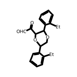 CCc1ccccc1C1COC(c2ccccc2CC)C(C(=O)C=O)O1